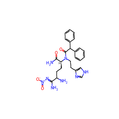 NC(=O)[C@H](CCC(N)C(N)=N[N+](=O)[O-])N(CCc1c[nH]cn1)C(=O)C(c1ccccc1)c1ccccc1